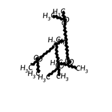 CCCCCCC(CCCC)C(=O)OCCCCCCCCCN(CCCCCCCCCOC(=O)C(CCCC)CCCCCC)CCN(C)CCN(CCCCCCCCCOC(=O)C(CCCC)CCCCCC)CCCCCCCCCOC(=O)C(CCCC)CCCCCC